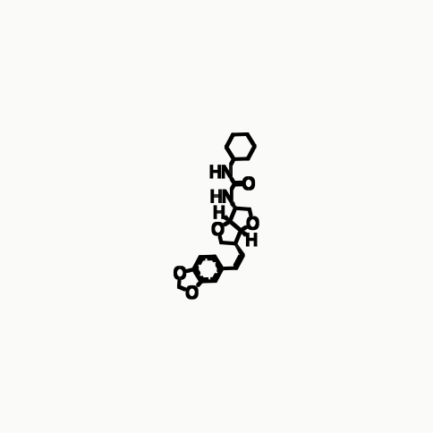 O=C(NC1CCCCC1)N[C@H]1CO[C@H]2[C@@H]1OC[C@@H]2/C=C\c1ccc2c(c1)OCO2